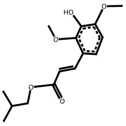 COc1ccc(C=CC(=O)OCC(C)C)c(OC)c1O